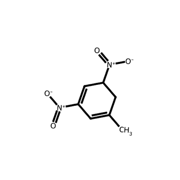 CC1=CC([N+](=O)[O-])=CC([N+](=O)[O-])C1